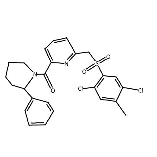 Cc1cc(Cl)c(S(=O)(=O)Cc2cccc(C(=O)N3CCCCC3c3ccccc3)n2)cc1Cl